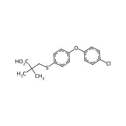 CC(C)(CSc1ccc(Oc2ccc(Cl)cc2)cc1)C(=O)O